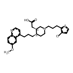 COc1ccc2nccc(CCC[C@@H]3CCN(CCCc4sccc4Cl)C[C@@H]3CC(=O)O)c2c1